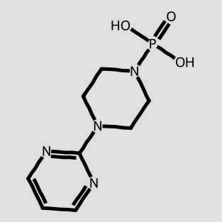 O=P(O)(O)N1CCN(c2ncccn2)CC1